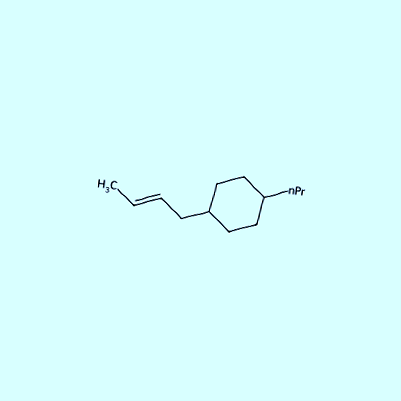 CC=CCC1CCC(CCC)CC1